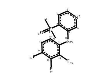 CP(C)(=O)c1ccncc1Nc1ccc(I)c(F)c1F